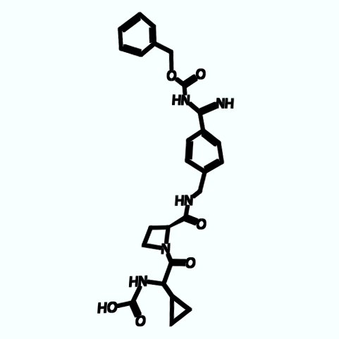 N=C(NC(=O)OCc1ccccc1)c1ccc(CNC(=O)[C@@H]2CCN2C(=O)C(NC(=O)O)C2CC2)cc1